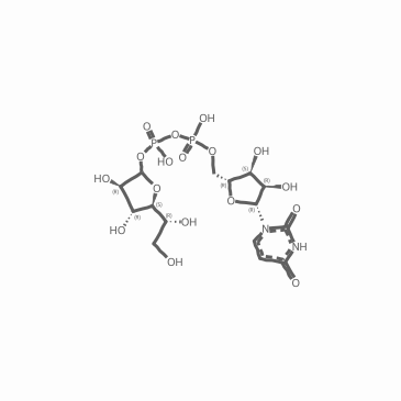 O=c1ccn([C@@H]2O[C@H](COP(=O)(O)OP(=O)(O)OC3O[C@@H]([C@H](O)CO)[C@H](O)[C@H]3O)[C@@H](O)[C@H]2O)c(=O)[nH]1